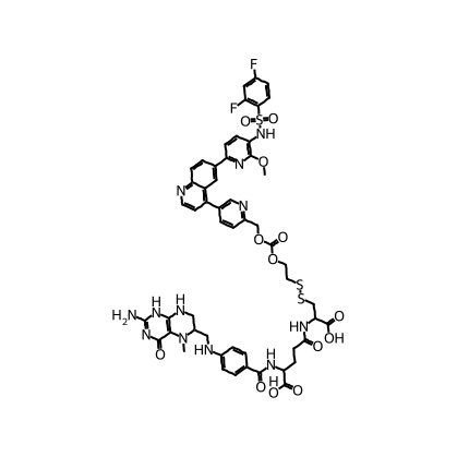 COc1nc(-c2ccc3nccc(-c4ccc(COC(=O)OCCSSCC(NC(=O)CCC(NC(=O)c5ccc(NCC6CNc7[nH]c(N)nc(=O)c7N6C)cc5)C(=O)O)C(=O)O)nc4)c3c2)ccc1NS(=O)(=O)c1ccc(F)cc1F